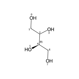 OCC(O)[C@H](O)CO